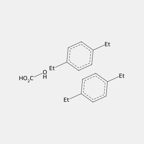 CCc1ccc(CC)cc1.CCc1ccc(CC)cc1.O=C(O)O